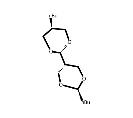 CCCC[C@H]1CO[C@H]([C@H]2CO[C@H](CCCC)OC2)OC1